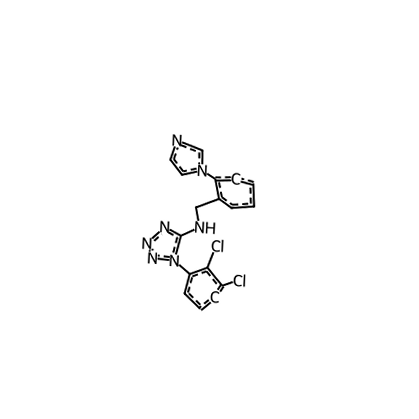 Clc1cccc(-n2nnnc2NCc2ccccc2-n2ccnc2)c1Cl